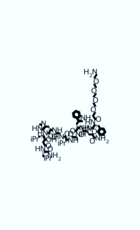 CC(C)C[C@H](NC(=O)C[C@H](O)[C@H](CC(C)C)NC(=O)[C@H](Cc1c[nH]cn1)NC(=O)CNC(=O)[C@@H](NC(=O)[C@H](C)NC(=O)[C@H](Cc1c[nH]c2ccccc12)NC(=O)[C@H](CCC(N)=O)NC(=O)[C@@H](Cc1ccccc1)NC(=O)CCOCCOCCOCCOCCN)C(C)C)C(N)=O